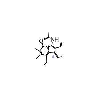 C=Cc1c(NC(=C)C)n2c(=O)c(C)c(C)c(CC)c2/c1=C/C